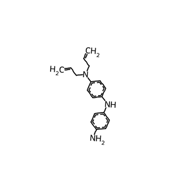 C=CCN(CC=C)c1ccc(Nc2ccc(N)cc2)cc1